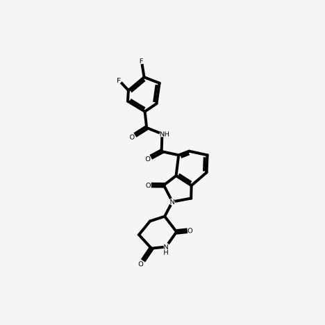 O=C1CCC(N2Cc3cccc(C(=O)NC(=O)c4ccc(F)c(F)c4)c3C2=O)C(=O)N1